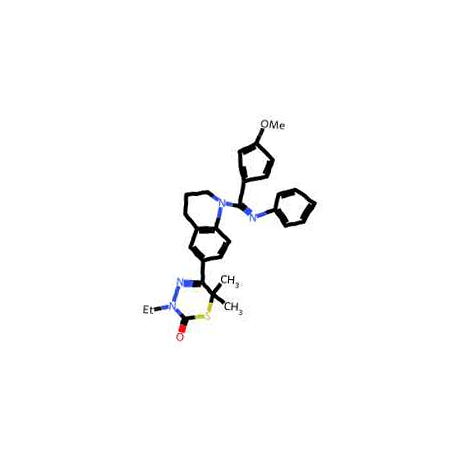 CCN1N=C(c2ccc3c(c2)CCCN3C(=Nc2ccccc2)c2ccc(OC)cc2)C(C)(C)SC1=O